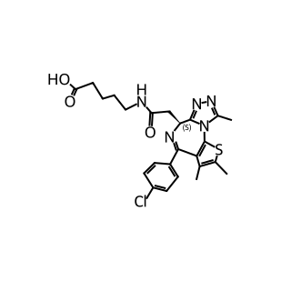 Cc1sc2c(c1C)C(c1ccc(Cl)cc1)=N[C@@H](CC(=O)NCCCCC(=O)O)c1nnc(C)n1-2